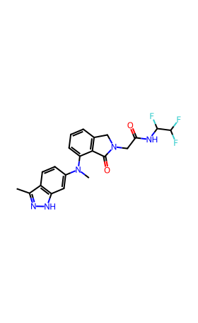 Cc1n[nH]c2cc(N(C)c3cccc4c3C(=O)N(CC(=O)NC(F)C(F)F)C4)ccc12